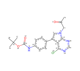 CC(=O)Cn1cc(-c2ccc(NC(=O)OC(C)(C)C)cc2)c2c(Cl)ncnc21